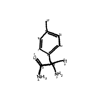 CCC(N)(C(N)=O)c1ccc(C)cc1